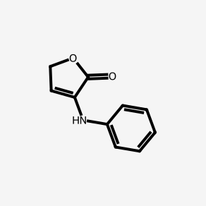 O=C1OCC=C1Nc1ccccc1